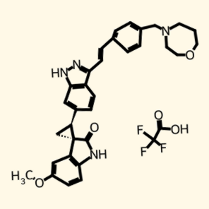 COc1ccc2c(c1)[C@]1(C[C@H]1c1ccc3c(C=Cc4ccc(CN5CCCOCC5)cc4)n[nH]c3c1)C(=O)N2.O=C(O)C(F)(F)F